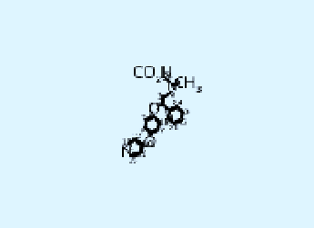 CN(CCC(Oc1ccc(Oc2ccncc2)cc1)c1ccccc1)CC(=O)O